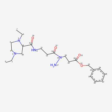 CCN1CCN(CC)C(C(=O)NCCC(=O)N(N)CCC(=O)OCc2ccccc2)C1